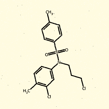 Cc1ccc(S(=O)(=O)N(CCCCl)c2ccc(C)c(Cl)c2)cc1